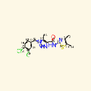 Cc1nc(NC(=O)c2nnn(Cc3ccc(Cl)c(Cl)c3)c2C)sc1C